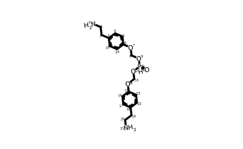 NCCc1ccc(OCO[PH](=O)OCOc2ccc(CCN)cc2)cc1